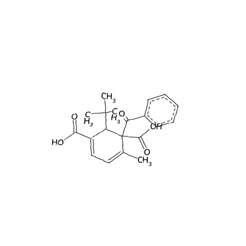 CC1=CC=C(C(=O)O)C(C(C)(C)C)C1(C(=O)O)C(=O)c1ccccc1